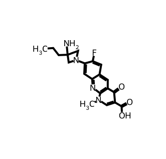 CCCC1(N)CN(c2cc3nc4c(cc3cc2F)c(=O)c(C(=O)O)cn4C)C1